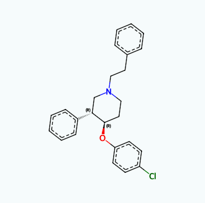 Clc1ccc(O[C@@H]2CCN(CCc3ccccc3)C[C@H]2c2ccccc2)cc1